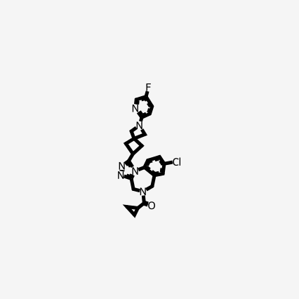 O=C(C1CC1)N1Cc2cc(Cl)ccc2-n2c(nnc2C2CC3(C2)CN(c2ccc(F)cn2)C3)C1